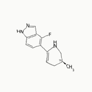 C[C@H]1CC=C(c2ccc3[nH]ncc3c2F)NC1